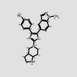 Cn1ncc2cc(-c3sc(N4CCC5NCCC5C4)nc3-c3ccc(C#N)cc3)ccc21